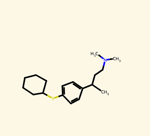 CC(CCN(C)C)c1ccc(SC2CCCCC2)cc1